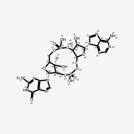 Nc1nc2c(ncn2[C@@H]2OC3COP(=O)(O)O[C@@H]4C(COP(=O)(O)O[C@@H]2[C@@H]3O)O[C@@H](n2cnc3c(N)ncnc32)[C@@H]4O)c(=O)[nH]1